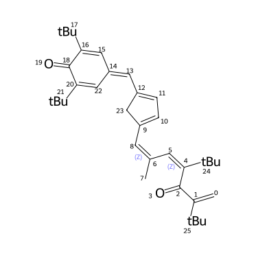 C=C(C(=O)/C(=C\C(C)=C/C1=CC=C(C=C2C=C(C(C)(C)C)C(=O)C(C(C)(C)C)=C2)C1)C(C)(C)C)C(C)(C)C